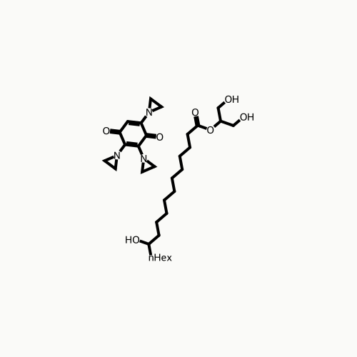 CCCCCCC(O)CCCCCCCCCCC(=O)OC(CO)CO.O=C1C=C(N2CC2)C(=O)C(N2CC2)=C1N1CC1